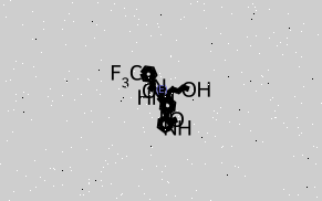 O=C(/N=c1\[nH]c2cc(N3CCCNC3=O)ccc2n1CCCO)c1cccc(C(F)(F)F)c1